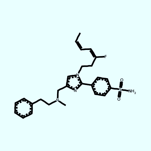 C/C=C\C=C(\F)CCn1cc(CN(C)CCc2ccccc2)nc1-c1ccc(S(N)(=O)=O)cc1